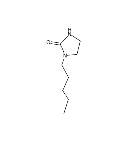 CCCCCN1CCNC1=O